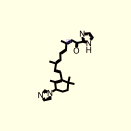 CC(C=CC1=C(C)C(n2ccnc2)CCC1(C)C)=CC=C/C(C)=C\C(=O)c1ncc[nH]1